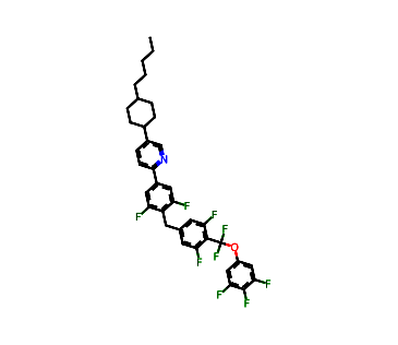 CCCCCC1CCC(c2ccc(-c3cc(F)c(Cc4cc(F)c(C(F)(F)Oc5cc(F)c(F)c(F)c5)c(F)c4)c(F)c3)nc2)CC1